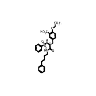 O=C(O)COc1ccc(C[C@H](NS(=O)(=O)c2ccccc2)C(=O)NCCCCc2ccccc2)cc1C(=O)O